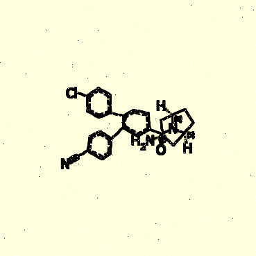 N#Cc1ccc(-c2cc(C(=O)N3[C@@H]4CC[C@H]3C[C@H](N)C4)ccc2-c2ccc(Cl)cc2)cc1